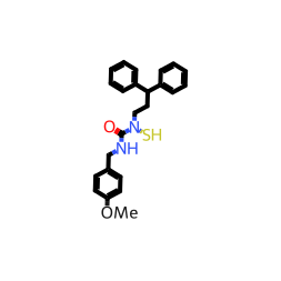 COc1ccc(CNC(=O)N(S)CCC(c2ccccc2)c2ccccc2)cc1